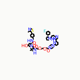 Cc1ncsc1-c1ccc(CNC(=O)[C@@H]2C[C@@H](O)CN2C(=O)[C@@H](NC(=O)COCCOCC(=O)N2CCN(c3cccc(-c4cnc5ccc(N6CCC[C@@H]6c6cccc(F)c6)nn45)n3)CC2)C(C)(C)C)cc1